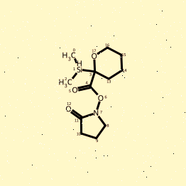 C[SiH](C)C1(C(=O)ON2CCCC2=O)CCCCO1